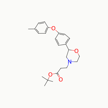 Cc1ccc(Oc2ccc(C3CN(CCC(=O)OC(C)(C)C)CCO3)cc2)cc1